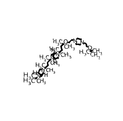 CC(C)(C)OCCN1CCN(CCOC(C)(C)CCC(C)(C)N2C[C@H]3C[C@@H]2CN3C(C)(C)CCC(C)(C)N2C[C@@H]3C[C@H]2CN3C(C)(C)C)CC1